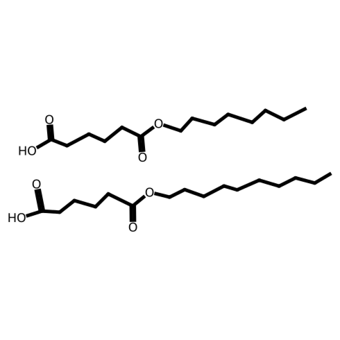 CCCCCCCCCCOC(=O)CCCCC(=O)O.CCCCCCCCOC(=O)CCCCC(=O)O